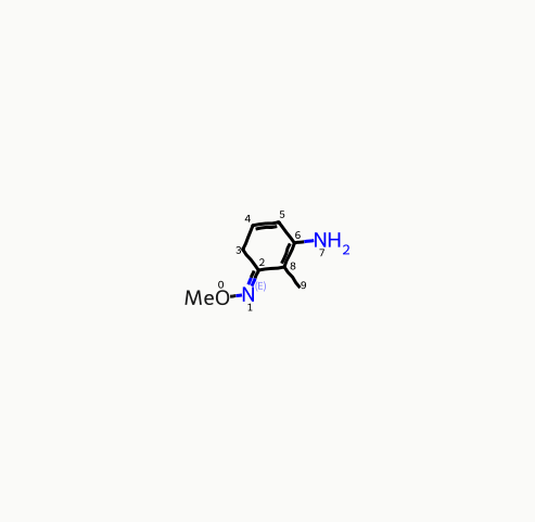 CO/N=C1\CC=CC(N)=C1C